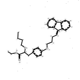 CCCCOC(Cc1ccc(OCCCC=C2c3ccccc3-c3ccccc32)cc1)C(=O)OCC